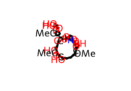 CO[C@H]1CC2CC[C@@H](C)[C@@](O)(O2)C(=O)C(=O)N2CCCC[C@H]2C(=O)O[C@H]([C@H](C)C[C@@H]2CC[C@@H](OC(=O)C(C)(CO)CO)[C@H](OC)C2)CC(=O)[C@H](C)/C=C(\C)[C@@H](O)[C@@H](OC)C(=O)[C@H](C)C[C@@](C)(O)/C=C/C=C/C=C/1C